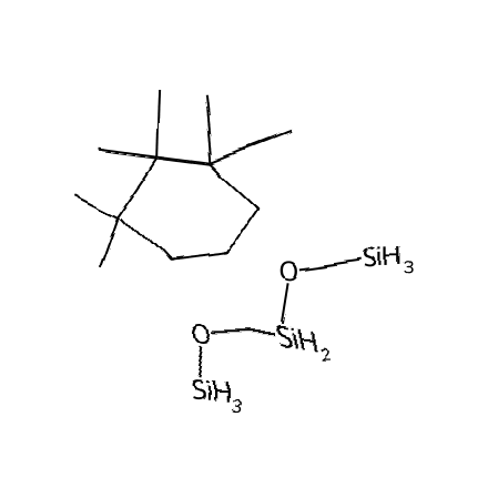 CC1(C)CCCC(C)(C)C1(C)C.[SiH3]O[SiH2]O[SiH3]